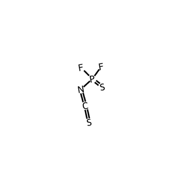 FP(F)(=S)N=C=S